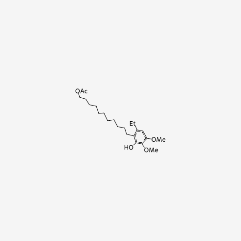 CCc1cc(OC)c(OC)c(O)c1CCCCCCCCCCCOC(C)=O